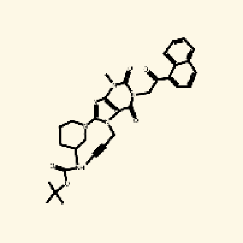 CC#CCn1c(N2CCCC(NC(=O)OC(C)(C)C)C2)nc2c1c(=O)n(CC(=O)c1cccc3ccccc13)c(=O)n2C